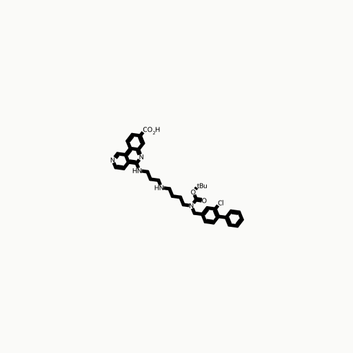 CC(C)(C)OC(=O)N(CCCCNCCCNc1nc2cc(C(=O)O)ccc2c2cnccc12)Cc1ccc(-c2ccccc2)c(Cl)c1